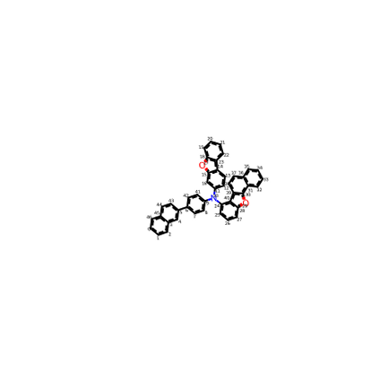 c1ccc2cc(-c3ccc(N(c4ccc5c(c4)oc4ccccc45)c4cccc5oc6c7ccccc7ccc6c45)cc3)ccc2c1